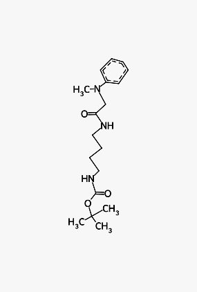 CN(CC(=O)NCCCCNC(=O)OC(C)(C)C)c1ccccc1